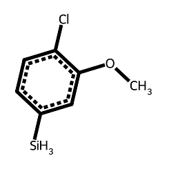 COc1cc([SiH3])ccc1Cl